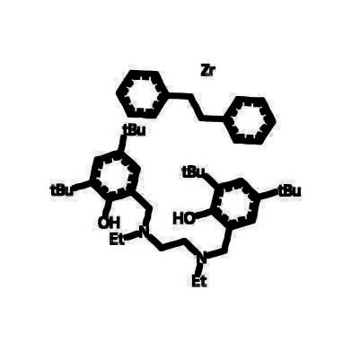 CCN(CCN(CC)Cc1cc(C(C)(C)C)cc(C(C)(C)C)c1O)Cc1cc(C(C)(C)C)cc(C(C)(C)C)c1O.[Zr].c1ccc(CCc2ccccc2)cc1